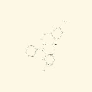 COc1ccc2c(c1)CCN1C(c3ccccc3)c3cc(N)c(O)cc3C[C@@H]21